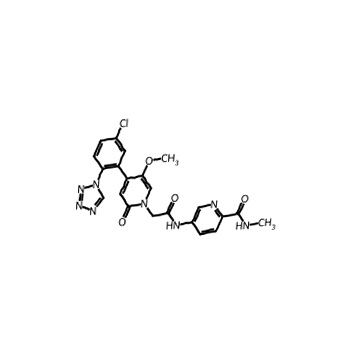 CNC(=O)c1ccc(NC(=O)Cn2cc(OC)c(-c3cc(Cl)ccc3-n3cnnn3)cc2=O)cn1